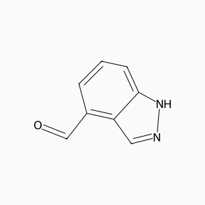 O=Cc1cccc2[nH]ncc12